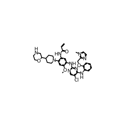 C=CC(=O)Nc1cc(Nc2ncc(Cl)c(Nc3ccccc3OCc3nccn3C)n2)c(OC)cc1N1CCC(C2CNCCO2)CC1